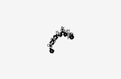 O=C(OCc1ccccc1)N1CCN(S(=O)(=O)N2CCC(Nc3nccc(-c4sc(Br)nc4-c4cccc(NS(=O)(=O)c5c(F)cccc5F)c4F)n3)CC2)CC1